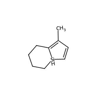 CC1=C2CCCC[SiH]2C=C1